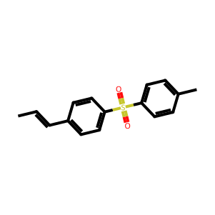 CC=Cc1ccc(S(=O)(=O)c2ccc(C)cc2)cc1